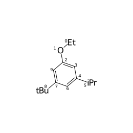 CCOc1cc(C(C)C)cc(C(C)(C)C)c1